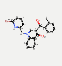 Cc1ccccc1C(=O)c1cn(Cc2cccc(Br)n2)c2ccccc2c1=O